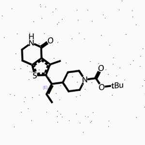 C/C=C(/c1sc2c(c1C)C(=O)NCC2)C1CCN(C(=O)OC(C)(C)C)CC1